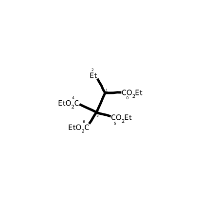 CCOC(=O)C(CC)C(C(=O)OCC)(C(=O)OCC)C(=O)OCC